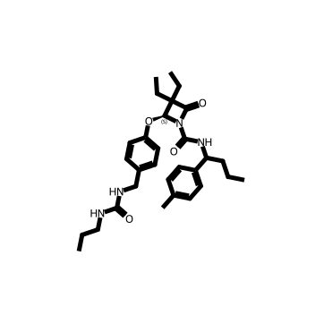 CCCNC(=O)NCc1ccc(O[C@@H]2N(C(=O)NC(CCC)c3ccc(C)cc3)C(=O)C2(CC)CC)cc1